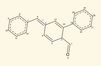 O=CC1C=C/C(=C\c2ccccc2)C=C1c1ccccc1